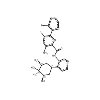 C[C@H]1C[C@@H](c2ccncc2NC(=O)c2nc(-c3ncccc3F)c(F)cc2N)C[C@@H](O)[C@@]1(C)O